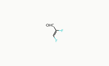 O=[C]C(F)=CF